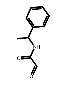 CC(NC(=O)C=O)c1ccccc1